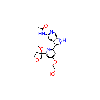 COC1(c2cc(OCCO)cc(-c3c[nH]c4cnc(NC(C)=O)cc34)n2)CCOC1